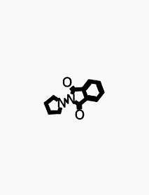 O=C1c2ccccc2C(=O)N1N1CCCC1